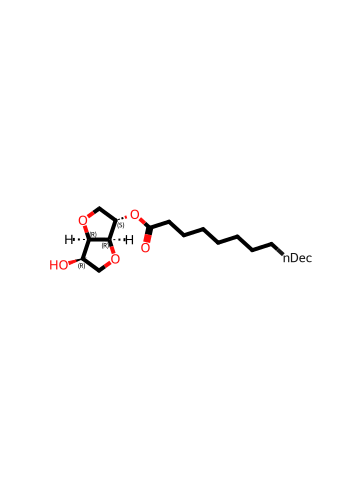 CCCCCCCCCCCCCCCCCC(=O)O[C@H]1CO[C@H]2[C@@H]1OC[C@H]2O